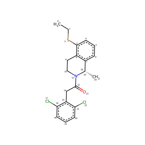 CCSc1cccc2c1CCN(C(=O)Cc1c(Cl)cccc1Cl)[C@H]2C